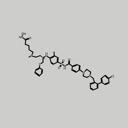 Cc1cc(S(=O)(=O)NC(=O)c2ccc(N3CCN(Cc4ccccc4-c4ccc(Cl)cc4)CC3)cc2)ccc1N[C@H](CCN(C)CCCCC(=O)NO)CSc1ccccc1